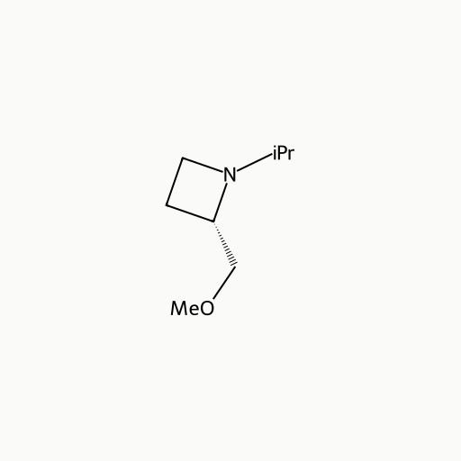 COC[C@@H]1CCN1C(C)C